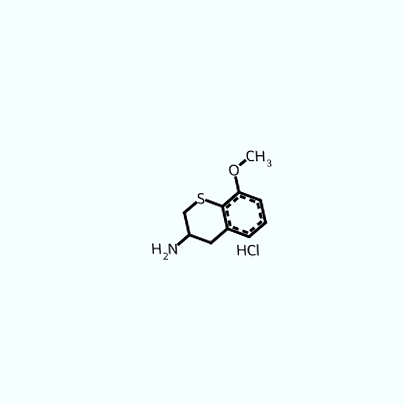 COc1cccc2c1SCC(N)C2.Cl